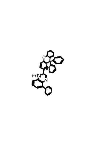 C1=CCNC(C2(c3ccccc3)c3ccccc3Oc3ccc(C4C=Nc5c(cccc5-c5ccccc5)N4)cc32)=C1